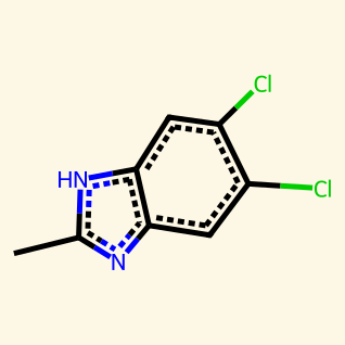 Cc1nc2cc(Cl)c(Cl)cc2[nH]1